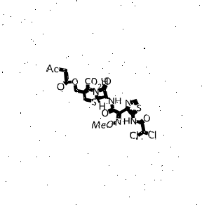 CO/N=C(\C(=O)N[C@@H]1C(=O)N2C(C(=O)O)=C(COC(=O)CC(C)=O)CS[C@@H]12)c1ncsc1NC(=O)C(Cl)Cl